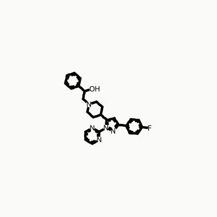 OC(CN1CCC(c2cc(-c3ccc(F)cc3)nn2-c2ncccn2)CC1)c1ccccc1